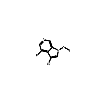 Fc1cncc2c1c(Br)cn2SI